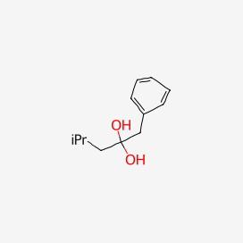 CC(C)CC(O)(O)Cc1ccccc1